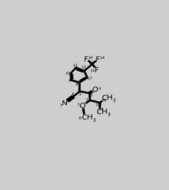 COC(C(=O)C(C#N)c1cccc(C(F)(F)F)c1)C(C)C